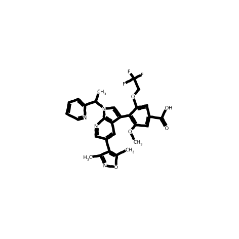 COc1cc(C(=O)O)cc(OCC(F)(F)F)c1-c1cn(C(C)c2ccccn2)c2ncc(-c3c(C)noc3C)cc12